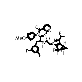 COc1ccc(-n2c(C(Cc3cc(F)cc(F)c3)NC(=O)Cn3nc(C(F)F)c4c3C(F)(F)[C@@H]3C[C@H]43)nc3ncccc3c2=O)cc1